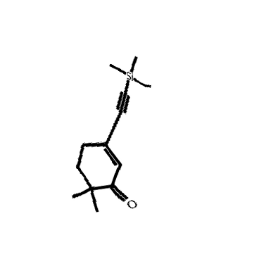 CC1(C)CCC(C#C[Si](C)(C)C)=CC1=O